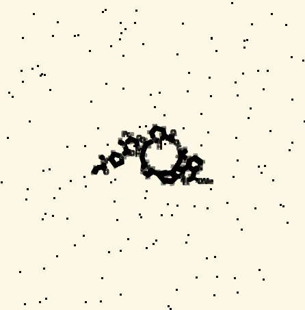 C=CC(=O)N(C)[C@H]1CCN(C(=O)N(C)[C@H](C(=O)N[C@H]2Cc3nc(cs3)-c3ccc4c(c3)c(c(-c3cccnc3[C@H](C)OC)n4CC)CC(C)(C)COC(=O)[C@@H]3CCCN(N3)C2=O)C(C)C)C1